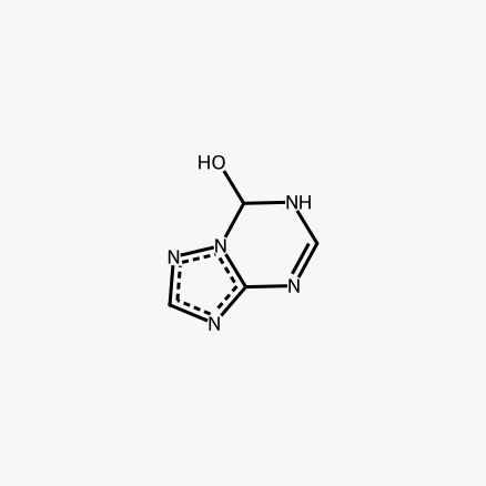 OC1NC=Nc2ncnn21